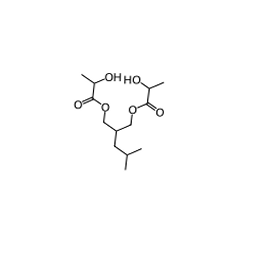 CC(C)CC(COC(=O)C(C)O)COC(=O)C(C)O